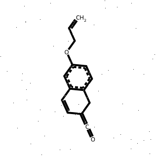 C=CCOc1ccc2c(c1)C=CC(=C=O)C2